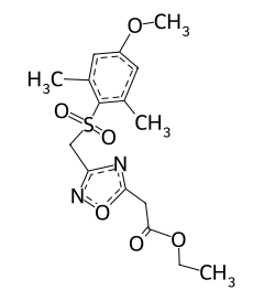 CCOC(=O)Cc1nc(CS(=O)(=O)c2c(C)cc(OC)cc2C)no1